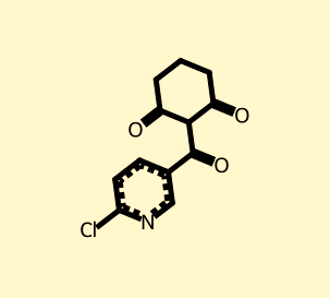 O=C1CCCC(=O)C1C(=O)c1ccc(Cl)nc1